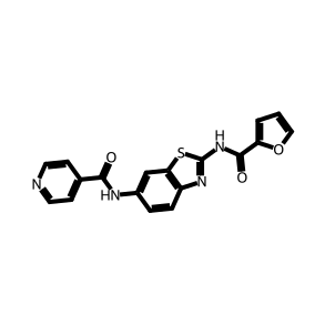 O=C(Nc1ccc2nc(NC(=O)c3ccco3)sc2c1)c1ccncc1